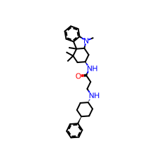 CN1c2ccccc2C2(C)C1C[C@@H](NC(=O)CCN[C@H]1CC[C@H](c3ccccc3)CC1)CC2(C)C